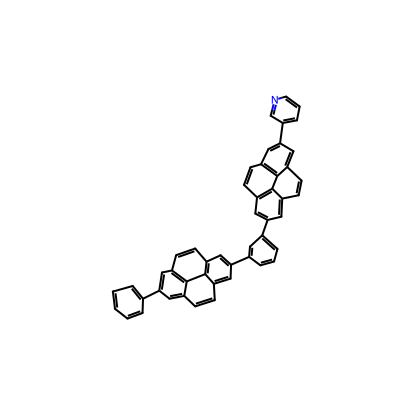 c1ccc(-c2cc3ccc4cc(-c5cccc(-c6cc7ccc8cc(-c9cccnc9)cc9ccc(c6)c7c89)c5)cc5ccc(c2)c3c45)cc1